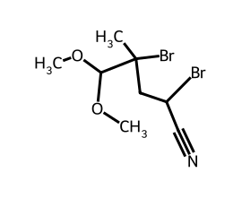 COC(OC)C(C)(Br)CC(Br)C#N